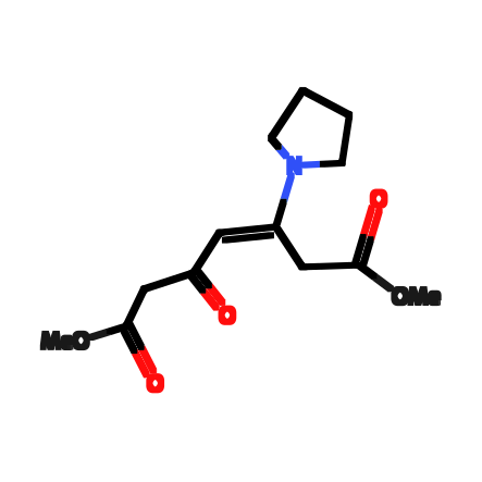 COC(=O)CC(=O)C=C(CC(=O)OC)N1CCCC1